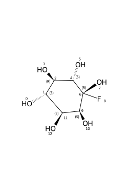 O[C@@H]1[C@@H](O)[C@H](O)[C@](O)(F)[C@@H](O)[C@H]1O